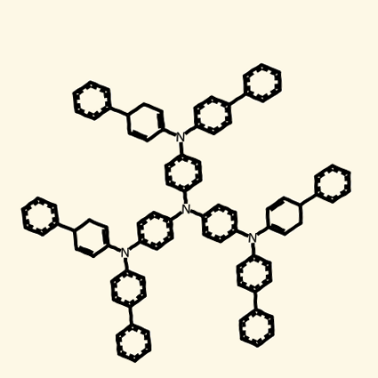 C1=CC(c2ccccc2)CC=C1N(c1ccc(-c2ccccc2)cc1)c1ccc(N(c2ccc(N(C3=CCC(c4ccccc4)C=C3)c3ccc(-c4ccccc4)cc3)cc2)c2ccc(N(C3=CCC(c4ccccc4)C=C3)c3ccc(-c4ccccc4)cc3)cc2)cc1